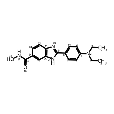 CCN(CC)c1ccc(-c2nc3ccc(C(=O)NO)cc3[nH]2)cc1